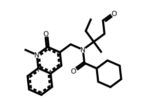 CCC(C)(CC=O)N(Cc1cc2ccccc2n(C)c1=O)C(=O)C1CCCCC1